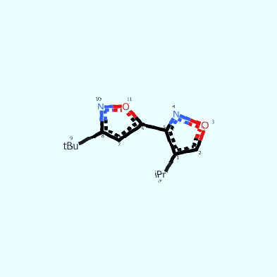 CC(C)c1conc1-c1cc(C(C)(C)C)no1